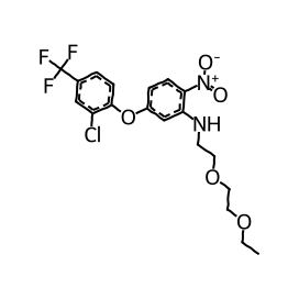 CCOCCOCCNc1cc(Oc2ccc(C(F)(F)F)cc2Cl)ccc1[N+](=O)[O-]